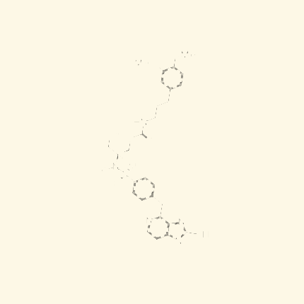 COc1ccc(CCCNC(=O)OC[C@H](CC(C)C)N(C)S(=O)(=O)c2ccc(Cc3nccc4[nH]c(C)nc34)cc2)cc1OC